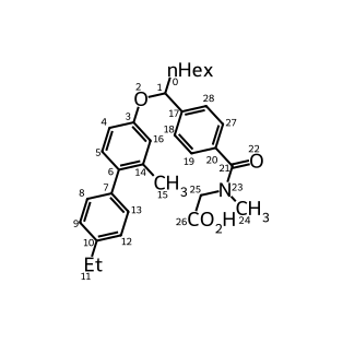 CCCCCCC(Oc1ccc(-c2ccc(CC)cc2)c(C)c1)c1ccc(C(=O)N(C)CC(=O)O)cc1